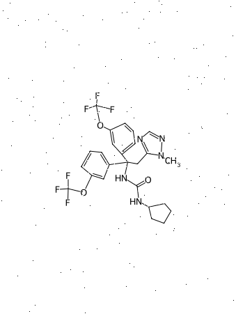 Cn1ncnc1CC(NC(=O)NC1CCCC1)(c1cccc(OC(F)(F)F)c1)c1cccc(OC(F)(F)F)c1